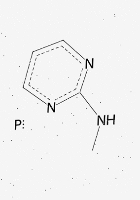 CNc1ncccn1.[P]